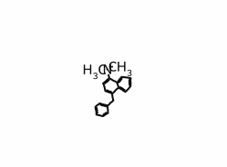 CN(C)c1ccc(Cc2ccccc2)c2ccccc12